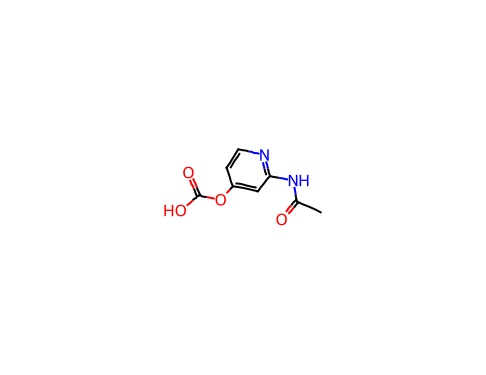 CC(=O)Nc1cc(OC(=O)O)ccn1